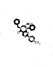 C=C[C@H]1CN(Cc2ccccc2)C(=O)c2cnc(N3CCN(C)CC3)nc2N1c1ccccc1